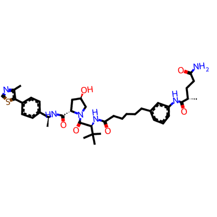 Cc1ncsc1-c1ccc([C@H](C)NC(=O)[C@@H]2C[C@@H](O)CN2C(=O)[C@@H](NC(=O)CCCCCc2cccc(NC(=O)[C@@H](C)CCC(N)=O)c2)C(C)(C)C)cc1